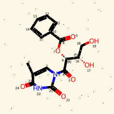 Cc1cn(C(=O)[C@H](OC(=O)c2ccccc2)[C@@H](O)CO)c(=O)[nH]c1=O